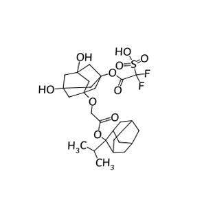 CC(C)C1(OC(=O)COC23CC4(O)CC(O)(C2)CC(OC(=O)C(F)(F)S(=O)(=O)O)(C4)C3)C2CC3CC(C2)CC1C3